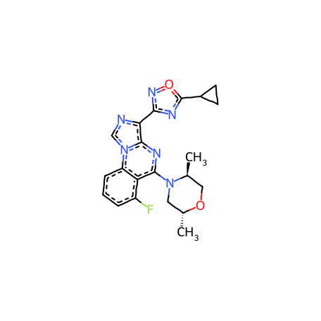 C[C@@H]1CN(c2nc3c(-c4noc(C5CC5)n4)ncn3c3cccc(F)c23)[C@@H](C)CO1